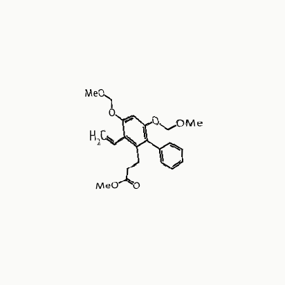 C=Cc1c(OCOC)cc(OCOC)c(-c2ccccc2)c1CCC(=O)OC